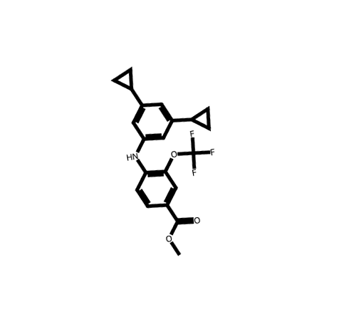 COC(=O)c1ccc(Nc2cc(C3CC3)cc(C3CC3)c2)c(OC(F)(F)F)c1